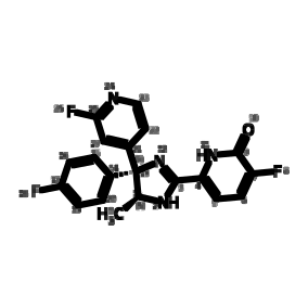 C[C@@H]1NC(c2ccc(F)c(=O)[nH]2)=N[C@]1(c1ccc(F)cc1)c1ccnc(F)c1